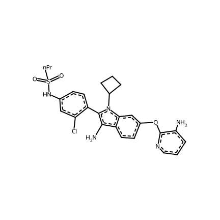 CCCS(=O)(=O)Nc1ccc(-c2c(N)c3ccc(Oc4ncccc4N)cc3n2C2CCC2)c(Cl)c1